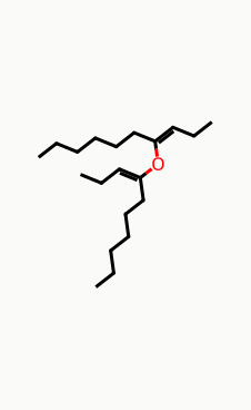 CCC=C(CCCCCC)OC(=CCC)CCCCCC